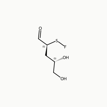 O=C[C@H](C[C@H](O)CO)SF